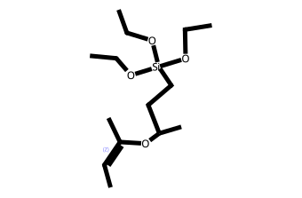 C/C=C(/C)OC(C)CC[Si](OCC)(OCC)OCC